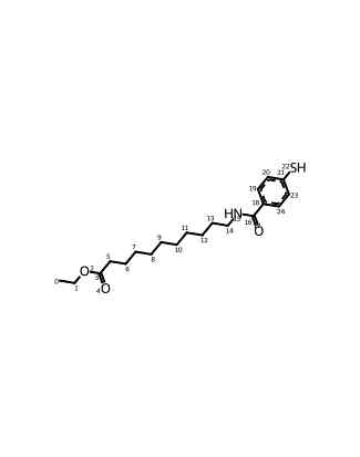 CCOC(=O)CCCCCCCCCCNC(=O)c1ccc(S)cc1